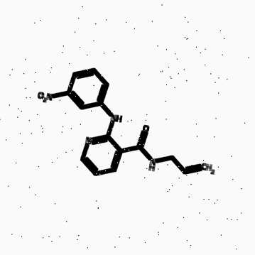 C=CCNC(=O)c1cccnc1Nc1cccc([N+](=O)[O-])c1